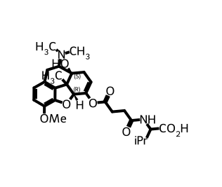 COc1ccc2c3c1O[C@H]1C(OC(=O)CCC(=O)NC(C(=O)O)C(C)C)=CC[C@@](O)(C(N(C)C)C2)C31C